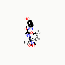 CC(C)COc1c(C(=O)N[C@H]2C3CC4CC2C[C@](O)(C4)C3)cnn1/C=C/C(C)(C)N1CCOC1=O